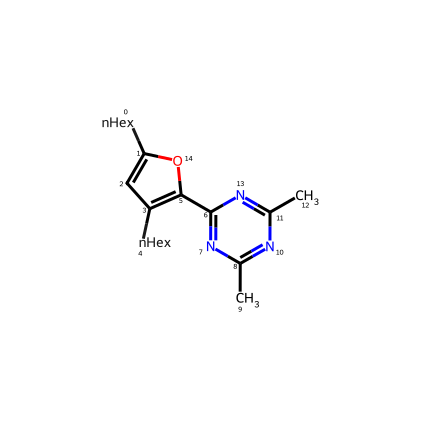 CCCCCCc1cc(CCCCCC)c(-c2nc(C)nc(C)n2)o1